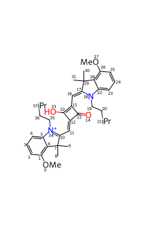 COc1cccc2c1C(C)(C)C(/C=C1/C(=O)C(/C=C3\N(CCC(C)C)c4cccc(OC)c4C3(C)C)=C1O)=[N+]2CCC(C)C